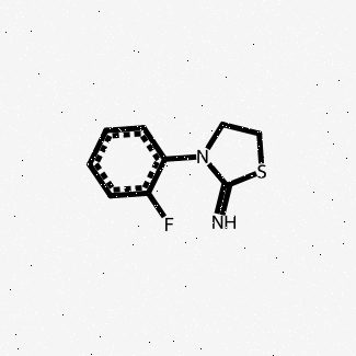 N=C1SCCN1c1ccccc1F